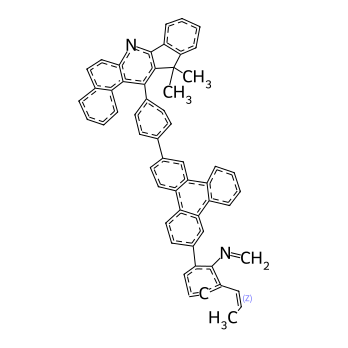 C=Nc1c(/C=C\C)cccc1-c1ccc2c3ccc(-c4ccc(-c5c6c(nc7ccc8ccccc8c57)-c5ccccc5C6(C)C)cc4)cc3c3ccccc3c2c1